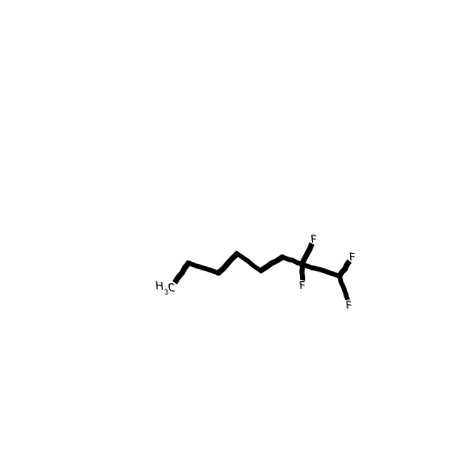 CCCCCCC(F)(F)C(F)F